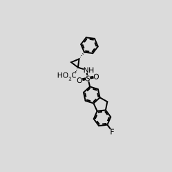 O=C(O)[C@]1(NS(=O)(=O)c2ccc3c(c2)Cc2cc(F)ccc2-3)C[C@@H]1c1ccccc1